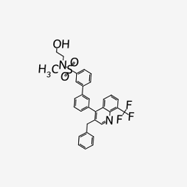 CN(CCO)S(=O)(=O)c1cccc(-c2cccc(-c3c(Cc4ccccc4)cnc4c(C(F)(F)F)cccc34)c2)c1